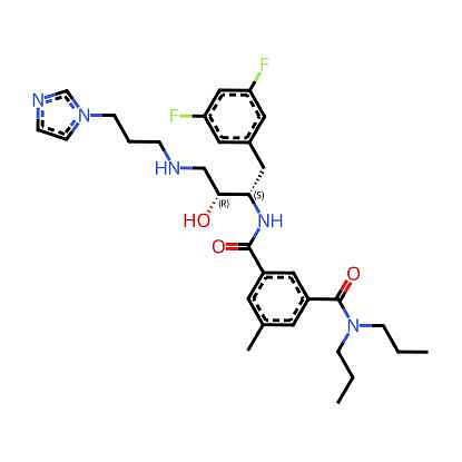 CCCN(CCC)C(=O)c1cc(C)cc(C(=O)N[C@@H](Cc2cc(F)cc(F)c2)[C@H](O)CNCCCn2ccnc2)c1